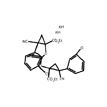 CCOC(=O)C1(OC(=O)OC2(C(=O)OCC)CC2(C#N)c2cccc(Cl)c2)CC1(C#N)c1cccc(Cl)c1.[KH].[KH]